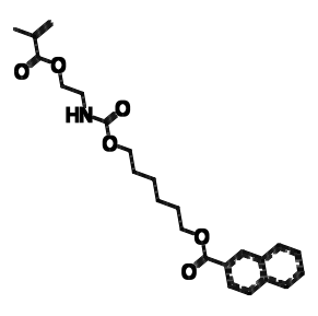 C=C(C)C(=O)OCCNC(=O)OCCCCCCOC(=O)c1ccc2ccccc2c1